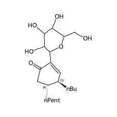 CCCCC[C@@H]1CC(=O)C(C2OC(CO)C(O)C(O)C2O)=C[C@H]1CCCC